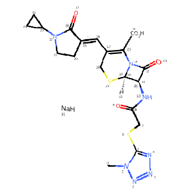 Cn1nnnc1SCC(=O)N[C@@H]1C(=O)N2C(C(=O)O)=C(/C=C3\CCN(C4CC4)C3=O)CS[C@H]12.[NaH]